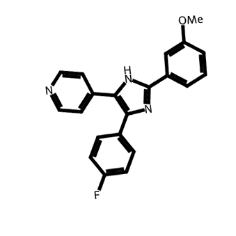 COc1cccc(-c2nc(-c3ccc(F)cc3)c(-c3ccncc3)[nH]2)c1